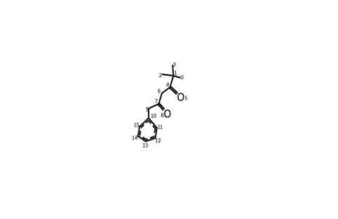 CC(C)(C)C(=O)CC(=O)Cc1ccccc1